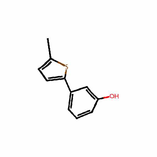 Cc1ccc(-c2cccc(O)c2)s1